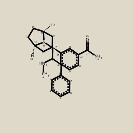 CNC(Cc1ccccc1)CN1[C@@H]2CC[C@H]1C[C@@H](c1cccc(C(N)=O)c1)C2